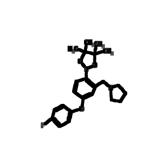 CC1(C)OB(c2ccc(Oc3ccc(F)cc3)cc2CN2CCCC2)OC1(C)C